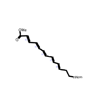 CCCCCCCCCCC/C=C/C=C/C=C/C=C/C=C/C(=O)OC